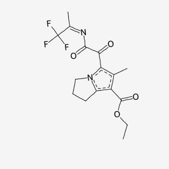 CCOC(=O)c1c(C)c(C(=O)C(=O)N=C(C)C(F)(F)F)n2c1CCC2